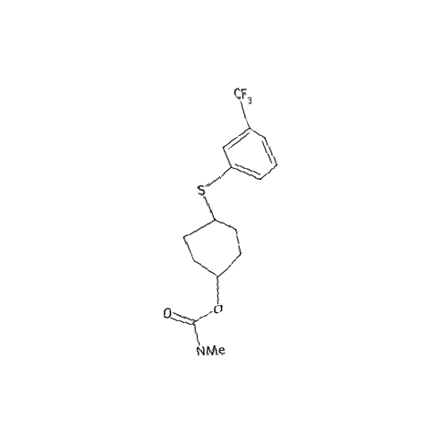 CNC(=O)OC1CCC(Sc2cccc(C(F)(F)F)c2)CC1